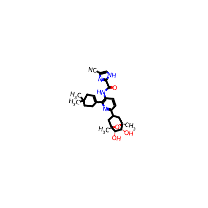 CC1(C)CC=C(c2nc(C3C[C@@]4(C)O[C@@](C)(C3)[C@H](O)[C@@H]4O)ccc2NC(=O)c2nc(C#N)c[nH]2)CC1